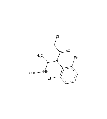 CCc1cccc(CC)c1N(C(=O)CCl)C(C)NC=O